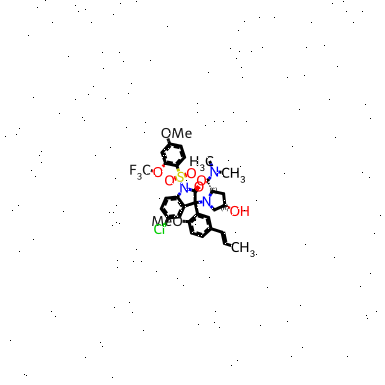 CC=Cc1ccc(OC)c(C2(N3C[C@H](O)C[C@H]3C(=O)N(C)C)C(=O)N(S(=O)(=O)c3ccc(OC)cc3OC(F)(F)F)c3ccc(Cl)cc32)c1